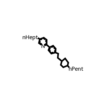 CCCCCCCc1ccc(-c2ccc(CCC3CCC(CCCCC)CC3)cc2)nc1